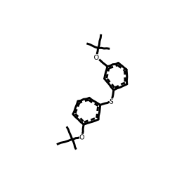 CC(C)(C)Oc1cccc(Sc2cccc(OC(C)(C)C)c2)c1